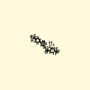 Cc1nc(C(F)(F)F)ccc1C(=O)OCc1cc(-c2ccc(C(F)(F)F)cc2)no1